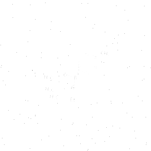 CCC1(C)OB(c2ccc(C)cc2)OC1(C)C